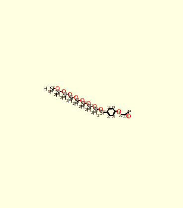 [SiH3]O[SiH2]O[SiH2]O[SiH2]O[SiH2]O[SiH2]O[SiH2]O[SiH2]O[SiH2]c1ccc(OCC2CO2)cc1